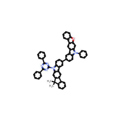 CC1(C)c2ccccc2-c2cc3c4cc(-c5ccc6c(c5)c5cc7c(cc5n6-c5ccccc5)oc5ccccc57)ccc4n(-c4nc(-c5ccccc5)nc(-c5ccccc5)n4)c3cc21